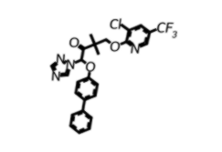 CC(C)(COc1ncc(C(F)(F)F)cc1Cl)C(=O)C(Oc1ccc(-c2ccccc2)cc1)n1cncn1